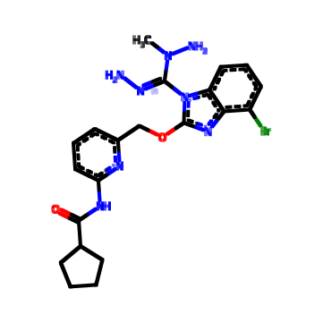 CN(N)/C(=N\N)n1c(OCc2cccc(NC(=O)C3CCCC3)n2)nc2c(Br)cccc21